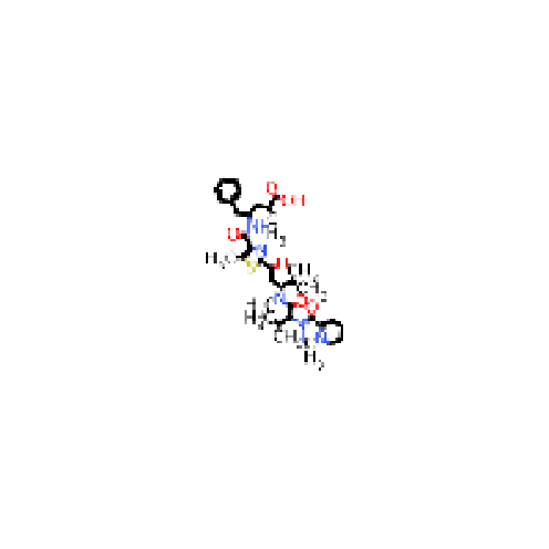 Cc1sc(C(=O)CC(C(C)C)N(C)C(=O)C(NC(=O)[C@H]2CCCCN2C)C(C)C)nc1C(=O)NC(Cc1ccccc1)CC(C)C(=O)O